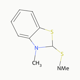 CNSC1Sc2ccccc2N1C